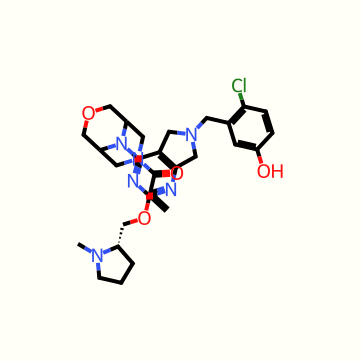 C=CC(=O)N1CC2COCC(C1)N2c1nc(OC[C@@H]2CCCN2C)nc2c1CN(Cc1cc(O)ccc1Cl)C2